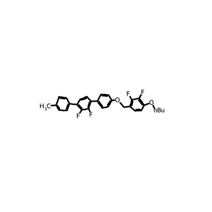 CCCCOc1ccc(COc2ccc(-c3ccc(-c4ccc(C)cc4)c(F)c3F)cc2)c(F)c1F